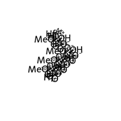 COP(=O)([O-])C(O)P(=O)([O-])[O-].COP(=O)([O-])C(O)P(=O)([O-])[O-].COP(=O)([O-])C(O)P(=O)([O-])[O-].COP(=O)([O-])C(O)P(=O)([O-])[O-].[Hf+4].[Hf+4].[Hf+4]